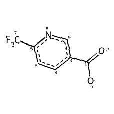 [O]C(=O)c1ccc(C(F)(F)F)nc1